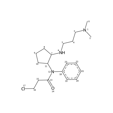 CN(C)CCCNC1CCCC1N(C(=O)CCCl)c1ccccc1